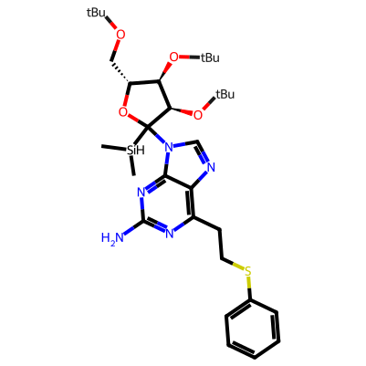 C[SiH](C)C1(n2cnc3c(CCSc4ccccc4)nc(N)nc32)O[C@H](COC(C)(C)C)[C@@H](OC(C)(C)C)[C@H]1OC(C)(C)C